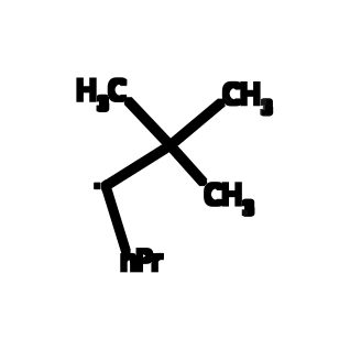 [CH2]CC[CH]C(C)(C)C